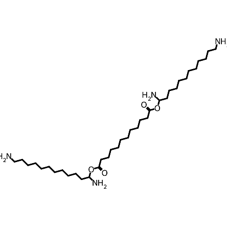 NCCCCCCCCCCCC(N)OC(=O)CCCCCCCCCCC(=O)OC(N)CCCCCCCCCCCN